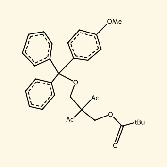 COc1ccc(C(OCC(COC(=O)C(C)(C)C)(C(C)=O)C(C)=O)(c2ccccc2)c2ccccc2)cc1